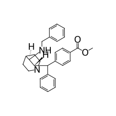 COC(=O)c1ccc(C(c2ccccc2)[C@H]2[C@H](NCc3ccccc3)C3CCN2CC3)cc1